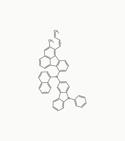 C=C/C=C\c1c(C)cc2cccc3c2c1-c1cccc(N(c2ccc4c(c2)c2ccccc2n4-c2ccccc2)c2cccc4ccccc24)c1-3